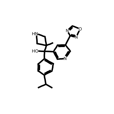 CC(C)c1ccc(C(O)(c2cncc(-c3ncon3)c2)C2(C)CNC2)cc1